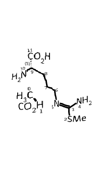 CC(=O)O.CSC(N)=NCCC[C@H](N)C(=O)O